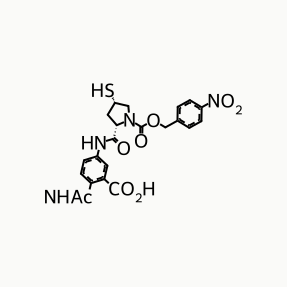 CC(=O)Nc1ccc(NC(=O)[C@@H]2C[C@H](S)CN2C(=O)OCc2ccc([N+](=O)[O-])cc2)cc1C(=O)O